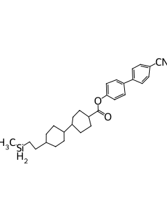 C[SiH2]CCC1CCC(C2CCC(C(=O)Oc3ccc(-c4ccc(C#N)cc4)cc3)CC2)CC1